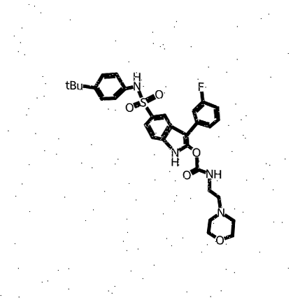 CC(C)(C)c1ccc(NS(=O)(=O)c2ccc3[nH]c(OC(=O)NCCN4CCOCC4)c(-c4cccc(F)c4)c3c2)cc1